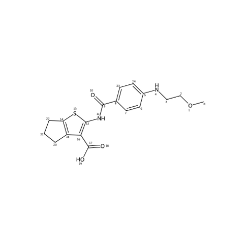 COCCNc1ccc(C(=O)Nc2sc3c(c2C(=O)O)CCC3)cc1